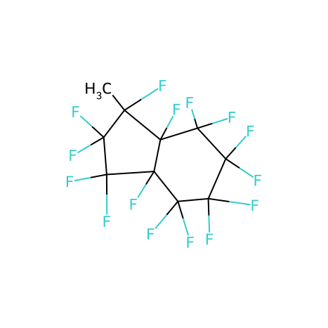 CC1(F)C(F)(F)C(F)(F)C2(F)C(F)(F)C(F)(F)C(F)(F)C(F)(F)C12F